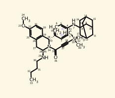 C=C(/C=C\C(=C/C)NC12CC3CC(CC(C3)C1)C2)[C@H]1c2ccc(OC)cc2C[C@H](NCCCC)N1C(=O)C#C[Si](C)(C)C